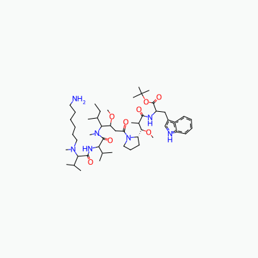 CCC(C)C(C(CC(=O)N1CCC[C@H]1C(OC)C(C)C(=O)NC(Cc1c[nH]c2ccccc12)C(=O)OC(C)(C)C)OC)N(C)C(=O)C(NC(=O)C(C(C)C)N(C)CCCCCCN)C(C)C